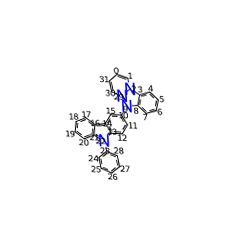 C1=CN2c3ccccc3N(c3ccc4c(c3)c3ccccc3n4-c3ccccc3)N2C=C1